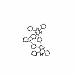 c1ccc(-c2nc(-c3ccccc3)nc(-c3ccc(-c4sc5c(c(-c6ccccc6)nc6ccccc65)c4-c4cccc(-n5c6ccccc6c6ccccc65)c4)cc3)n2)cc1